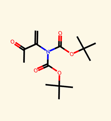 C=C(C(C)=O)N(C(=O)OC(C)(C)C)C(=O)OC(C)(C)C